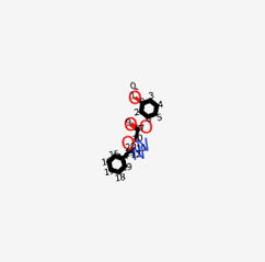 COc1cccc(OC(=O)c2nnc(-c3ccccc3)o2)c1